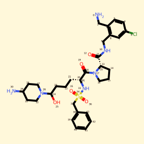 NCc1ccc(Cl)cc1CNC(=O)[C@@H]1CCCN1C(=O)[C@@H](CCCC(O)N1CCC(N)CC1)NS(=O)(=O)Cc1ccccc1